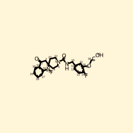 O=C1CC2(CCN(C(=O)NCc3ccc(F)c(OCCO)c3)CC2)N(F)c2ccccc21